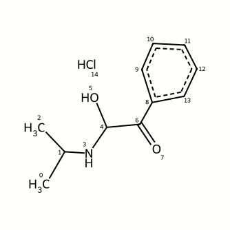 CC(C)NC(O)C(=O)c1ccccc1.Cl